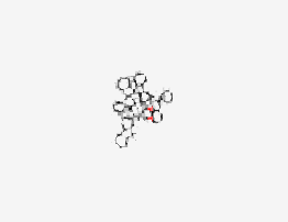 CC1(C)c2ccccc2-c2ccc(N(c3ccccc3)c3cc4c(c5ccccc35)-c3ccccc3C43c4ccccc4-c4cc(N(c5ccccc5)c5ccccc5)ccc43)cc21